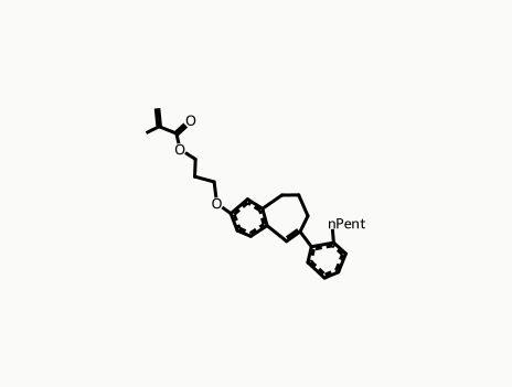 C=C(C)C(=O)OCCCOc1ccc2c(c1)CCCC(c1ccccc1CCCCC)=C2